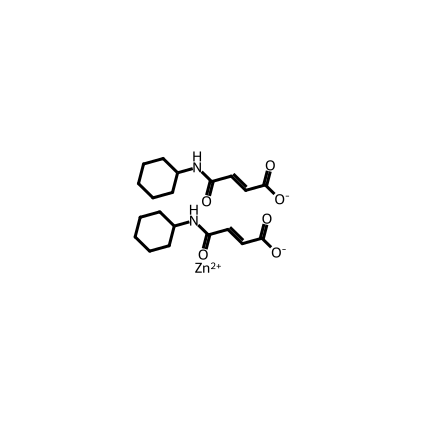 O=C([O-])C=CC(=O)NC1CCCCC1.O=C([O-])C=CC(=O)NC1CCCCC1.[Zn+2]